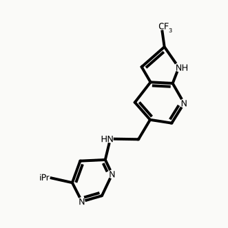 CC(C)c1cc(NCc2cnc3[nH]c(C(F)(F)F)cc3c2)ncn1